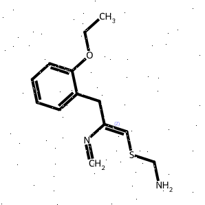 C=N/C(=C\SCN)Cc1ccccc1OCC